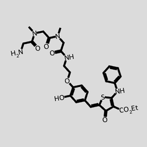 CCOC(=O)C1=C(Nc2ccccc2)S/C(=C\c2ccc(OCCNC(=O)CN(C)C(=O)CN(C)C(=O)CN)c(O)c2)C1=O